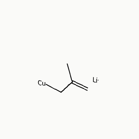 C=C(C)[CH2][Cu].[Li]